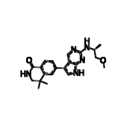 COC[C@H](C)Nc1ncc2c(-c3ccc4c(c3)C(C)(C)CNC4=O)c[nH]c2n1